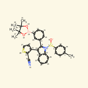 Cc1ccc([S+]([O-])n2c(-c3cccc(B4OC(C)(C)C(C)(C)O4)c3)c(-c3ccsc3C#N)c3ccccc32)cc1